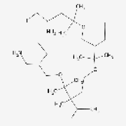 CC(I)C(C)(CCOC(C)(C)C(CI)COC(C)(C)CC(N)CI)C(C)(C)OCC(CN)CI